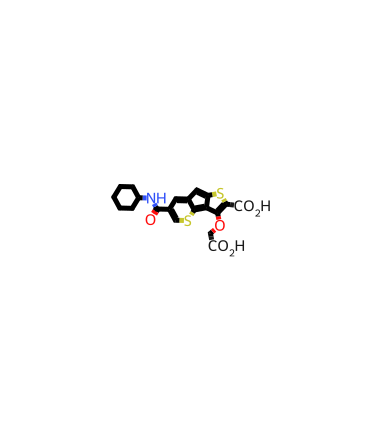 O=C(O)COc1c(C(=O)O)sc2cc3cc(C(=O)NC4CCCCC4)csc-3c12